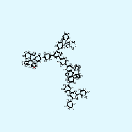 CC1(C)c2ccccc2-c2ccc(-c3cc(-c4ccc(-c5ccc6c(c5)Oc5ccccc5C65c6ccccc6-c6ccccc65)cc4)nc(-c4ccc(-c5ccc6c(c5)Oc5cc(-c7cccc(-c8cc(-c9ccccc9)nc(-c9ccccc9)n8)c7)ccc5C65c6ccccc6-c6ccccc65)cc4)n3)cc21